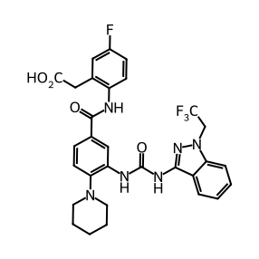 O=C(O)Cc1cc(F)ccc1NC(=O)c1ccc(N2CCCCC2)c(NC(=O)Nc2nn(CC(F)(F)F)c3ccccc23)c1